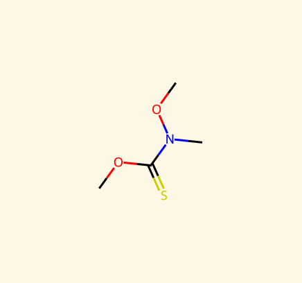 COC(=S)N(C)OC